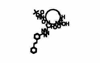 CC(C)(C)OC(=O)N[C@@H]1CCCCC/C=C\[C@@H]2C[C@]2(C(=O)O)NC(=O)[C@@H]2C[C@@H](n3nnc(-c4cccc(/C=C/c5ccccc5)c4)n3)CN2C1=O